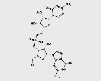 CC(=O)O[C@H]1[C@@H](O)[C@@H](COP(=O)(O)O[C@@H]2[C@H](OC(C)=O)[C@H](n3cnc4c(=O)[nH]c(N)nc43)O[C@@H]2CO)O[C@H]1n1cnc(N)nc1=O